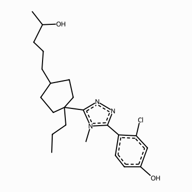 CCCC1(c2nnc(-c3ccc(O)cc3Cl)n2C)CCC(CCCC(C)O)CC1